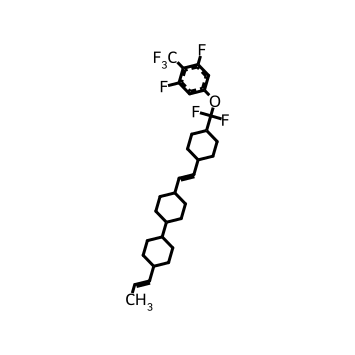 C/C=C/C1CCC(C2CCC(/C=C/C3CCC(C(F)(F)Oc4cc(F)c(C(F)(F)F)c(F)c4)CC3)CC2)CC1